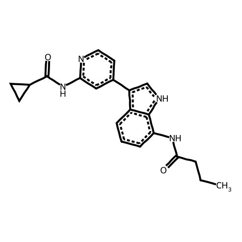 CCCC(=O)Nc1cccc2c(-c3ccnc(NC(=O)C4CC4)c3)c[nH]c12